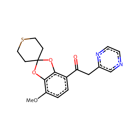 COc1ccc(C(=O)Cc2cnccn2)c2c1OC1(CCSCC1)O2